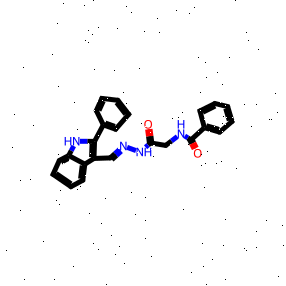 O=C(CNC(=O)c1ccccc1)N/N=C/c1c(-c2ccccc2)[nH]c2ccccc12